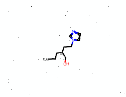 CC(C)(C)CC[C@H](CO)CCn1ccnc1